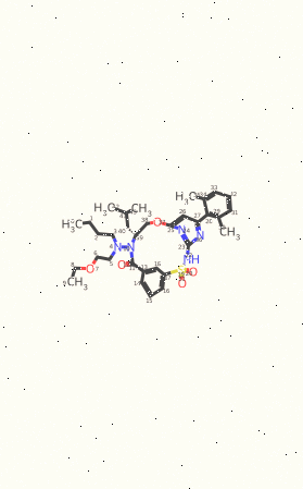 CCCCN(CCOCC)N1C(=O)c2cccc(c2)S(=O)(=O)Nc2nc(cc(-c3c(C)cccc3C)n2)OC[C@H]1CC(C)C